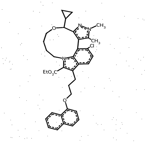 CCOC(=O)c1c(CCCOc2cccc3ccccc23)c2ccc(Cl)c3c2n1CCCCOC(C1CC1)c1nn(C)c(C)c1-3